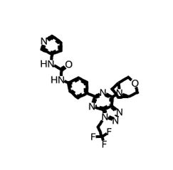 O=C(Nc1ccc(-c2nc(N3C4CCC3COC4)c3nnn(CC(F)(F)F)c3n2)cc1)Nc1cccnc1